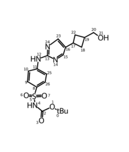 CC(C)(C)OC(=O)NS(=O)(=O)c1ccc(Nc2ncc(C3CC(CO)C3)cn2)cc1